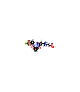 COc1cc(F)c(-c2cnc(CCC(=O)O)nc2)cc1C(=O)N[C@@H]1[C@H]2CC[C@H](C2)[C@@H]1C(=O)Nc1cccc(S(=O)(=O)C(F)(F)F)c1